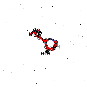 COC[C@H]1OC(=O)/C(=C/N(C)CCCN(C)C)C2=C(O)C(=O)C3=C(C21)[C@H](OC(C)=O)C[C@]1(C)[C@@H](OC(=O)CCCCCCC(=O)O[C@@H]2/C(C)=C/[C@@H](C)C(=O)C[C@@H]([C@H](C)C[C@@H]4CC[C@@H](O)[C@H](OC)C4)OC(=O)[C@@H]4CCCCN4C(=O)C(=O)[C@]4(O)O[C@@H](CC[C@H]4C)C[C@H](OC)/C(C)=C/C=C/C=C/[C@@H](C)C[C@@H](C)C(=O)[C@@H]2OC)CC[C@@H]31